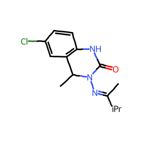 C/C(=N\N1C(=O)Nc2ccc(Cl)cc2C1C)C(C)C